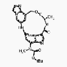 C[C@@H]1COCc2cc(cn3ccnc23)Nc2cc(N(C)C(=O)OC(C)(C)C)c3ncc(n3n2)C(=O)N1